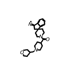 C/N=C1/CC2(CCN(C(=O)C3CCN(CC4CCOCC4)CC3)CC2)c2ccccc21